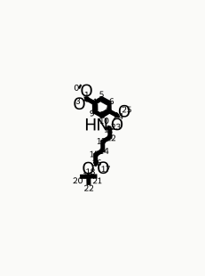 COC(=O)c1ccc2c(c1)NC(CCCCC(=O)OC(C)(C)C)OC2=O